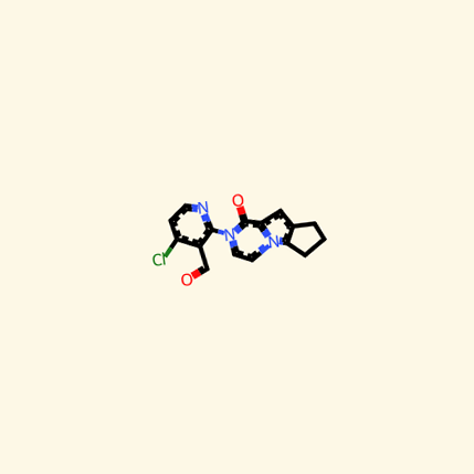 O=Cc1c(Cl)ccnc1-n1ccn2c3c(cc2c1=O)CCC3